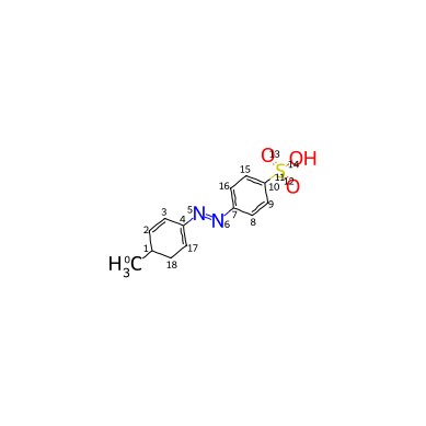 CC1C=CC(N=Nc2ccc(S(=O)(=O)O)cc2)=CC1